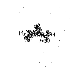 Nc1ccc(N=Nc2ccc(N=Nc3cc(C(=O)O)cc(C(=O)O)c3)c3c2CC(=S(=O)=O)C=C3)c2c1CC(=S(=O)=O)C=C2